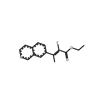 CCOC(=O)/C(F)=C(\C)c1ccc2ccncc2c1